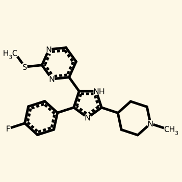 CSc1nccc(-c2[nH]c(C3CCN(C)CC3)nc2-c2ccc(F)cc2)n1